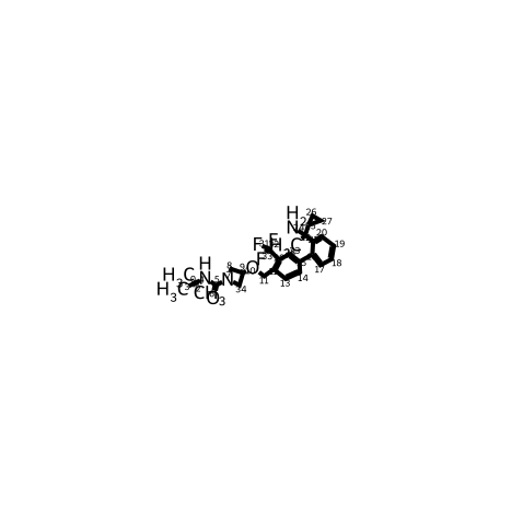 CC(C)(C)NC(=O)N1CC(OCc2ccc(-c3ccccc3C(C)(N)C3CC3)cc2C(F)(F)F)C1